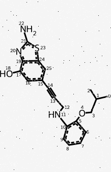 CC(C)COc1ccccc1NCC#Cc1cc(O)c2nc(N)sc2c1